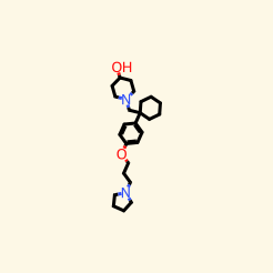 OC1CCN(CC2(c3ccc(OCCCN4CCCC4)cc3)CCCCC2)CC1